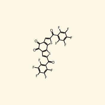 O=C1C(=O)c2cc(C(=O)c3c(F)c(F)c(F)c(F)c3F)sc2-c2sc(C(=O)c3c(F)c(F)c(F)c(F)c3F)cc21